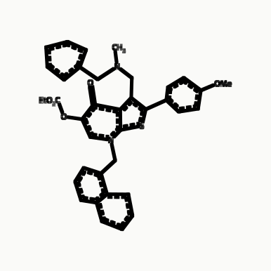 CCOC(=O)Oc1cn(Cc2cccc3ccccc23)c2sc(-c3ccc(OC)cc3)c(CN(C)Cc3ccccc3)c2c1=O